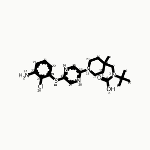 CC1(CN(C(=O)O)C(C)(C)C)CCN(c2cnc(Sc3cccc(N)c3Cl)cn2)CC1